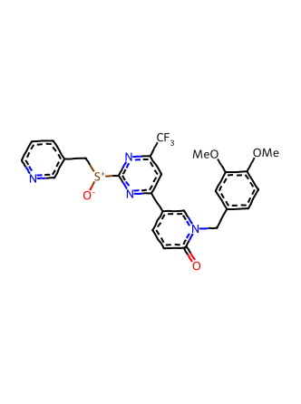 COc1ccc(Cn2cc(-c3cc(C(F)(F)F)nc([S+]([O-])Cc4cccnc4)n3)ccc2=O)cc1OC